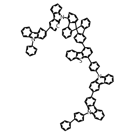 c1ccc(-c2ccc(-n3c4ccccc4c4cc(-c5ccc6c(c5)c5ccccc5n6-c5ccc(-c6ccc(-c7ccc8c(c7)-c7ccccc7C87c8ccccc8-c8c(-n9c%10ccccc%10c%10cc(-c%11ccc%12c(c%11)c%11ccccc%11n%12-c%11ccccc%11)ccc%109)cccc87)c7c6sc6ccccc67)cc5)ccc43)cc2)cc1